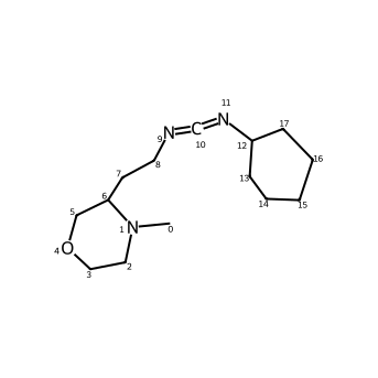 CN1CCOCC1CCN=C=NC1CCCCC1